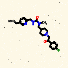 COCc1ccc(CNC(=O)N(C)CC2CCN(CC(=O)c3ccc(F)cc3)CC2)nc1